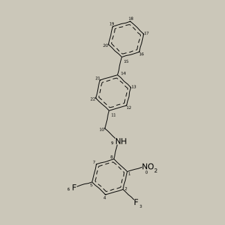 O=[N+]([O-])c1c(F)cc(F)cc1NCc1ccc(-c2ccccc2)cc1